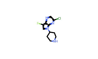 Fc1cn(C2CCNCC2)c2nc(Cl)cnc12